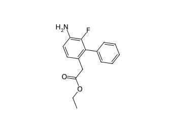 CCOC(=O)Cc1ccc(N)c(F)c1-c1ccccc1